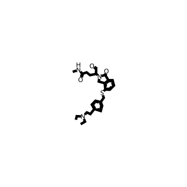 CCN(CC)CCc1ccc(CSc2cccc3c2CN(C(C=O)CCC(=O)NC)C3=O)cc1